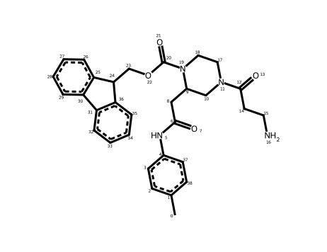 Cc1ccc(NC(=O)CC2CN(C(=O)CCN)CCN2C(=O)OCC2c3ccccc3-c3ccccc32)cc1